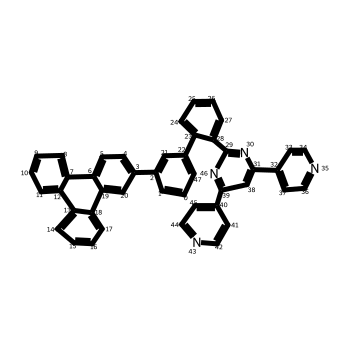 c1cc(-c2ccc3c4ccccc4c4ccccc4c3c2)cc(-c2ccccc2-c2nc(-c3ccncc3)cc(-c3ccncc3)n2)c1